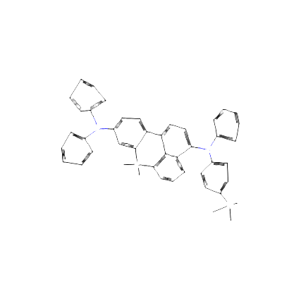 C[Si](C)(C)c1ccc(N(c2ccccc2)c2ccc3c4c(cccc24)[Si](C)(C)c2cc(N(c4ccccc4)c4ccccc4)ccc2-3)cc1